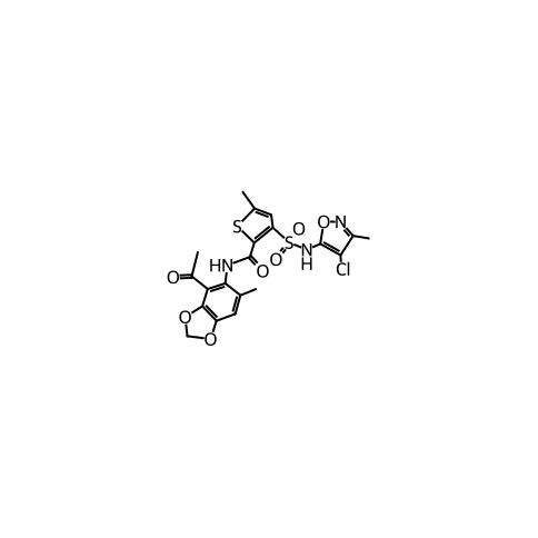 CC(=O)c1c(NC(=O)c2sc(C)cc2S(=O)(=O)Nc2onc(C)c2Cl)c(C)cc2c1OCO2